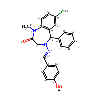 CN1C(=O)CN(/N=C/c2ccc(O)cc2)C(c2ccccc2)c2cc(Cl)ccc21